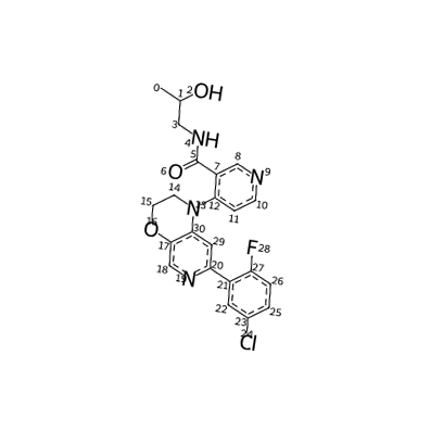 CC(O)CNC(=O)c1cnccc1N1CCOc2cnc(-c3cc(Cl)ccc3F)cc21